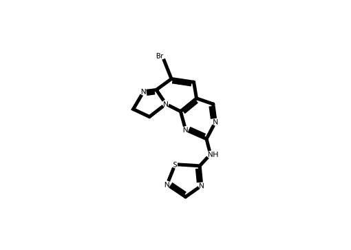 BrC1=Cc2cnc(Nc3ncns3)nc2N2CCN=C12